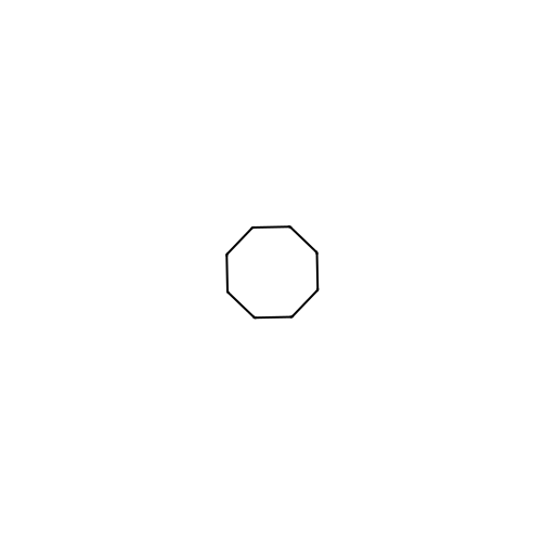 C1CCCCCCC1